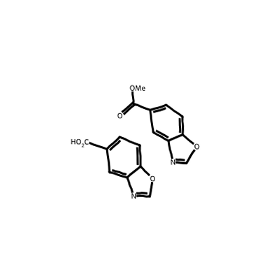 COC(=O)c1ccc2ocnc2c1.O=C(O)c1ccc2ocnc2c1